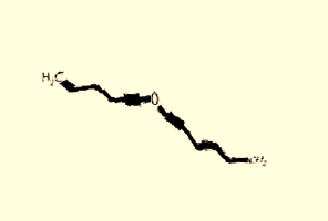 C=CCCC#COC#CCCC=C